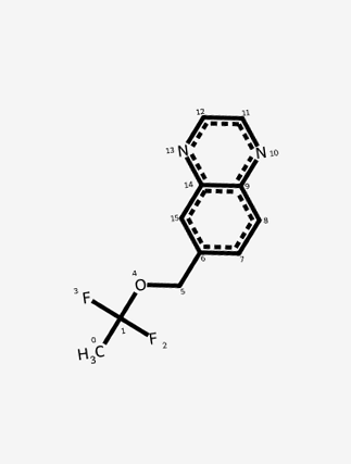 CC(F)(F)OCc1ccc2nccnc2c1